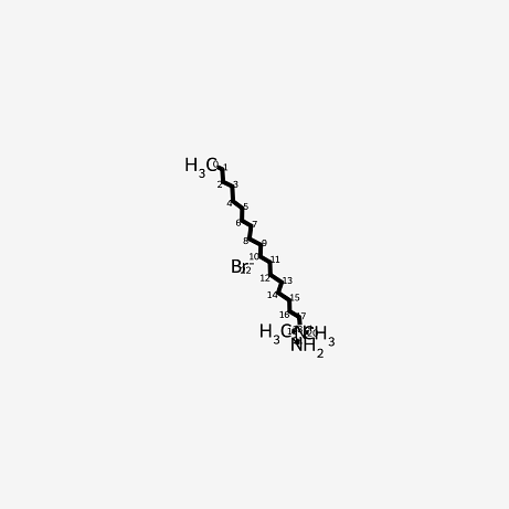 CCCCCCCCCCCCCCCCCC[N+](C)(C)N.[Br-]